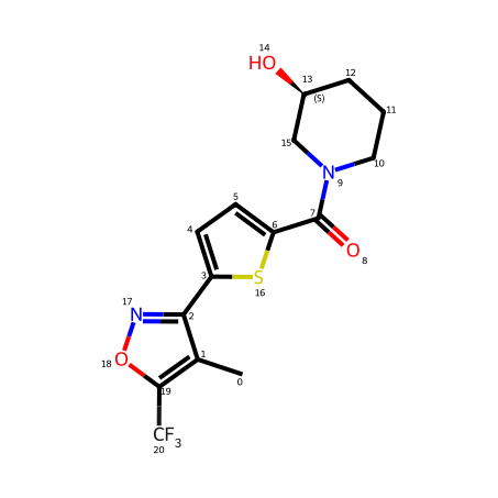 Cc1c(-c2ccc(C(=O)N3CCC[C@H](O)C3)s2)noc1C(F)(F)F